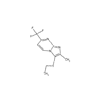 CCSc1c(C)nc2nc(C(F)(F)F)ccn12